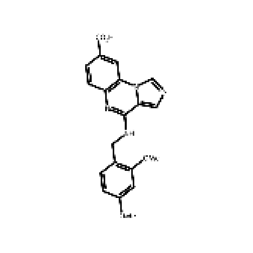 COc1ccc(CNc2nc3ccc(C(=O)O)cc3n3cncc23)c(OC)c1